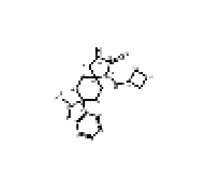 CCCN(C)C1(c2ccccc2)CCC2(CC1)CNC(=O)N2CC1CCC1